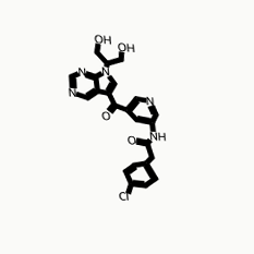 O=C(Cc1ccc(Cl)cc1)Nc1cncc(C(=O)c2cn(C(CO)CO)c3ncncc23)c1